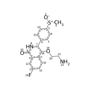 C[S+]([O-])c1ccc(-c2[nH]c(=O)c3cc(F)ccc3c2OCCN)cc1